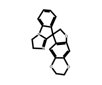 c1ccc2c(c1)N1CCN=C1C21COc2cc3c(cc21)OCCO3